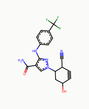 N#CC1C#CC(O)CC1n1cc(C(N)=O)c(Nc2ccc(C(F)(F)F)cc2)n1